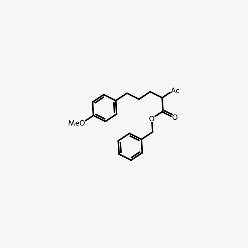 COc1ccc(CCCC(C(C)=O)C(=O)OCc2ccccc2)cc1